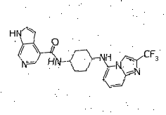 O=C(NC1CCC(Nc2cccc3nc(C(F)(F)F)cn23)CC1)c1cncc2[nH]ccc12